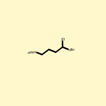 [CH2]CCCC(CC)CCCCCCCCC